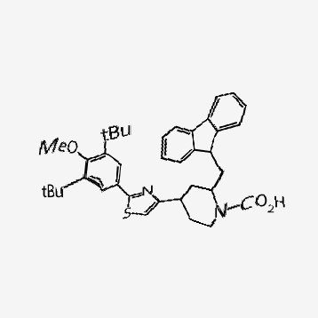 COc1c(C(C)(C)C)cc(-c2nc(C3CCN(C(=O)O)C(CC4c5ccccc5-c5ccccc54)C3)cs2)cc1C(C)(C)C